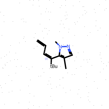 C=C/C=C(\c1c(C)cnn1C)C(C)(C)C